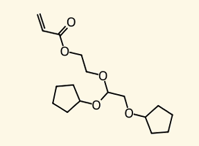 C=CC(=O)OCCOC(COC1CCCC1)OC1CCCC1